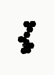 c1ccc(C2=Nc3c(ccc4c3c3ccccc3n4-c3ccc(-c4ccc5c6ccccc6c6ccccc6c5c4)cc3)C2(c2ccccc2)c2ccccc2)cc1